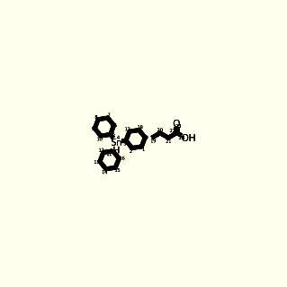 C1CC[CH]([SnH]([CH]2CCCCC2)[CH]2CCCCC2)CC1.CCCC(=O)O